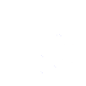 CCc1nc(Nc2cccc(Cl)c2)ncc1C(=O)NCC1CCOCC1